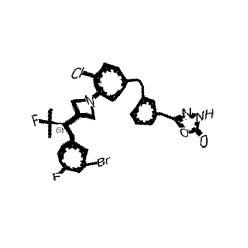 CC(C)(F)[C@H](c1cc(F)cc(Br)c1)C1CN(c2cc(Cc3cccc(-c4n[nH]c(=O)o4)c3)ccc2Cl)C1